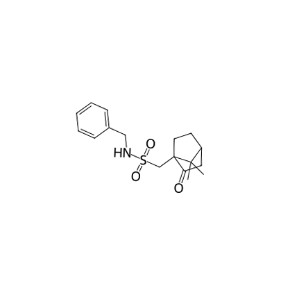 CC1(C)C2CCC1(CS(=O)(=O)NCc1ccccc1)C(=O)C2